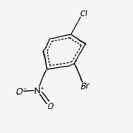 O=[N+]([O-])c1ccc(Cl)cc1Br